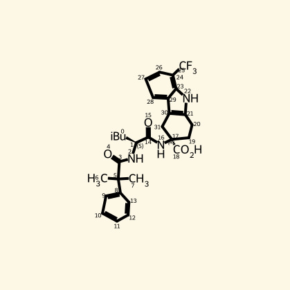 CCC(C)[C@H](NC(=O)C(C)(C)c1ccccc1)C(=O)N[C@]1(C(=O)O)CCc2[nH]c3c(C(F)(F)F)cccc3c2C1